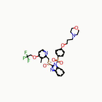 Cc1c(OCC(F)(F)F)ccnc1C[S+]([O-])c1nc2ccccc2n1S(=O)(=O)c1ccc(OCCCN2CCOCC2)cc1